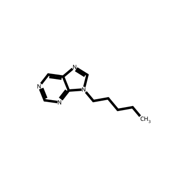 CCCCCn1cnc2cncnc21